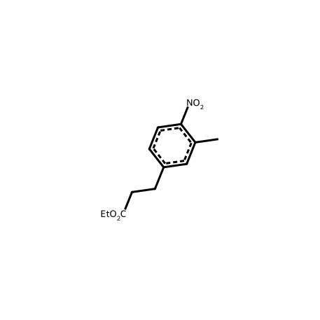 CCOC(=O)CCc1ccc([N+](=O)[O-])c(C)c1